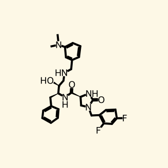 CN(C)c1cccc(CNC[C@H](O)[C@H](Cc2ccccc2)NC(=O)[C@@H]2CN(Cc3ccc(F)cc3F)C(=O)N2)c1